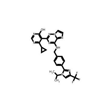 CC(C)n1cc(C(F)(F)F)nc1-c1ccc(CNc2nc(-c3c(O)ncnc3C3CC3)nn3ccnc23)cc1